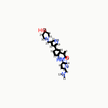 C=C(C(=O)Nc1ccc(CN(C)C)nc1)c1cc(-c2cncc(CN3CCC(O)CC3)c2)ccc1N